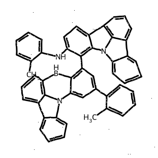 Cc1ccccc1Nc1ccc2c3cccc4c5ccccc5n(c2c1-c1cc(-c2ccccc2C)cc2c1Bc1cccc5c6ccccc6n-2c15)c43